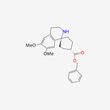 COc1cc2c(cc1OC)[C@]1(CC[C@@H](C(=O)OCc3ccccc3)CC1)NCC2